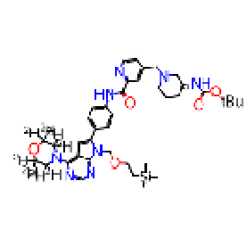 [2H]C1([2H])OC([2H])([2H])C([2H])([2H])N(c2ncnc3c2cc(-c2ccc(NC(=O)c4cc(CN5CCC[C@@H](NC(=O)OC(C)(C)C)C5)ccn4)cc2)n3COCC[Si](C)(C)C)C1([2H])[2H]